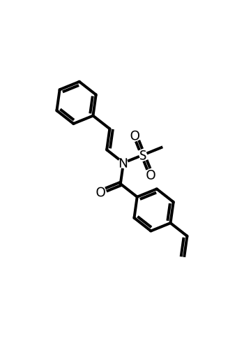 C=Cc1ccc(C(=O)N(C=Cc2ccccc2)S(C)(=O)=O)cc1